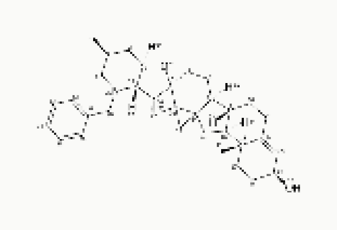 C[C@H]1C[C@H]2O[C@]3(CC[C@H]4[C@@H]5CCC6=C[C@@H](O)CC[C@]6(C)[C@H]5CC45CC53C)[C@H](C)[C@@H]2N(Cc2ccccc2)C1